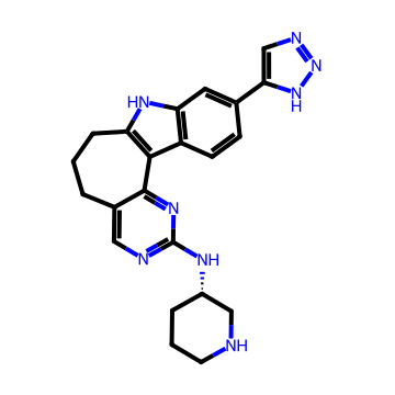 c1cc2c3c([nH]c2cc1-c1cnn[nH]1)CCCc1cnc(N[C@H]2CCCNC2)nc1-3